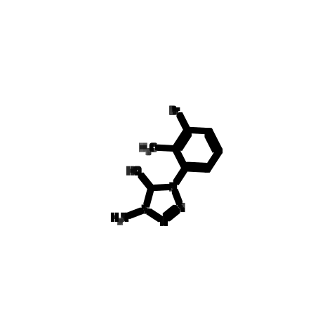 Cc1c(Br)cccc1N1N=NN(N)C1O